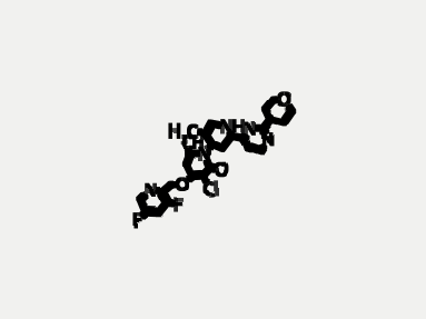 CC1=CNC(c2ccnc(C3CCOCC3)n2)CC1n1c(C)cc(OCc2ncc(F)cc2F)c(Cl)c1=O